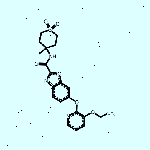 CC1(NC(=O)c2nc3ccc(Oc4ncccc4OCC(F)(F)F)cc3o2)CCS(=O)(=O)CC1